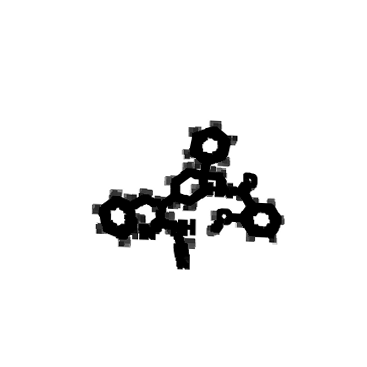 COc1ccccc1C(=O)NCC1(c2ccccc2)CCC(N(Cc2ccccc2)C(=N)NC#N)CC1